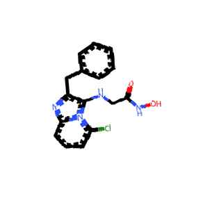 O=C(CNc1c(Cc2ccccc2)nc2cccc(Cl)n12)NO